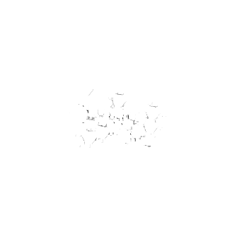 C=CCN1CCCC[C@@H]1[C@H](Oc1nnc(O[C@H](c2cccc3ccccc23)[C@H]2CCCCN2CC=C)c2ccccc12)c1cccc2ccccc12